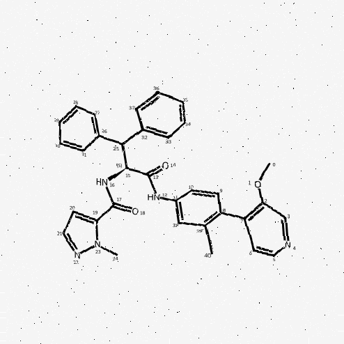 COc1cnccc1-c1ccc(NC(=O)[C@@H](NC(=O)c2ccnn2C)C(c2ccccc2)c2ccccc2)cc1C